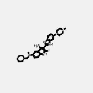 CN1CCN(c2ccc3nc(-c4c(N)c5cc(N(C)CC6CCCCC6)ccc5[nH]c4=O)[nH]c3c2)CC1